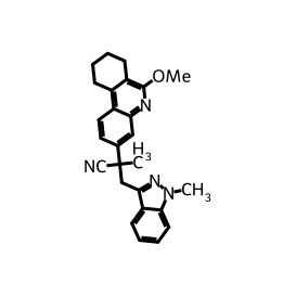 COc1nc2cc(C(C)(C#N)Cc3nn(C)c4ccccc34)ccc2c2c1CCCC2